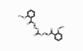 CC(C)Oc1ccccc1C(=O)N=NOC(=O)ON=NC(=O)c1ccccc1OC(C)C